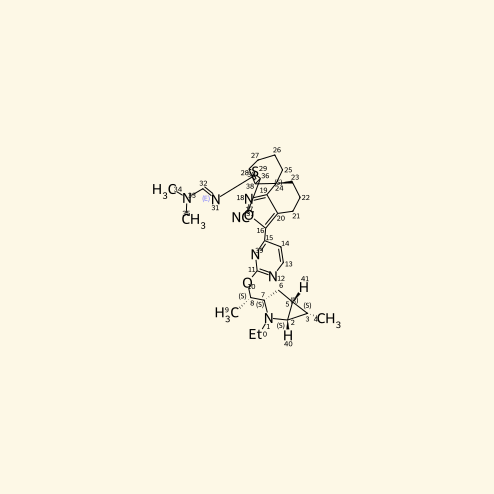 CCN1[C@H]2[C@@H](C)[C@H]2C[C@H]1[C@H](C)Oc1nccc(-c2onc3c2CCC[C@@]32CCCc3sc(/N=C/N(C)C)c(C#N)c32)n1